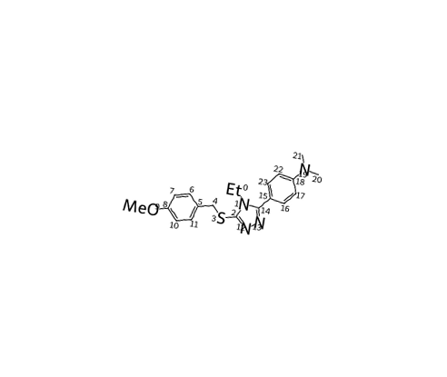 CCn1c(SCc2ccc(OC)cc2)nnc1-c1ccc(N(C)C)cc1